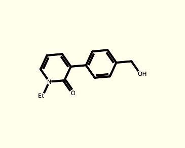 CCn1cccc(-c2ccc(CO)cc2)c1=O